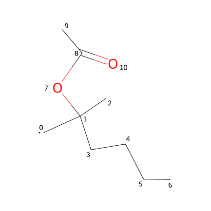 [CH2]C(C)(CCCC)OC(C)=O